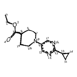 CCOC(=O)C1CCN(c2cnc(C3CC3)nc2)CC1